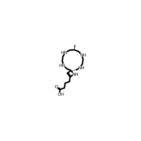 C[C@H]1CNCCNC[C@]2(C=C(CCCC(=O)O)N2)CNCCNC1